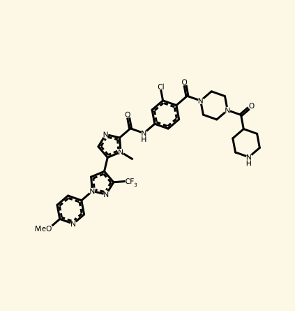 COc1ccc(-n2cc(-c3cnc(C(=O)Nc4ccc(C(=O)N5CCN(C(=O)C6CCNCC6)CC5)c(Cl)c4)n3C)c(C(F)(F)F)n2)cn1